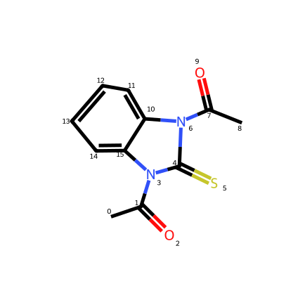 CC(=O)n1c(=S)n(C(C)=O)c2ccccc21